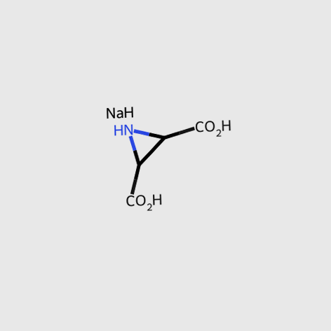 O=C(O)C1NC1C(=O)O.[NaH]